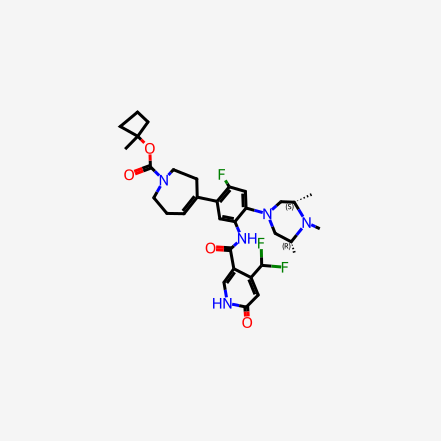 C[C@@H]1CN(c2cc(F)c(C3=CCCN(C(=O)OC4(C)CCC4)CC3)cc2NC(=O)c2c[nH]c(=O)cc2C(F)F)C[C@H](C)N1C